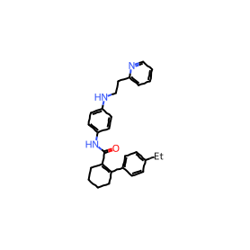 CCc1ccc(C2=C(C(=O)Nc3ccc(NCCc4ccccn4)cc3)CCCC2)cc1